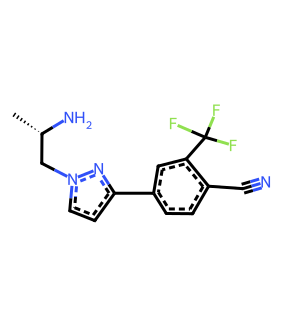 C[C@H](N)Cn1ccc(-c2ccc(C#N)c(C(F)(F)F)c2)n1